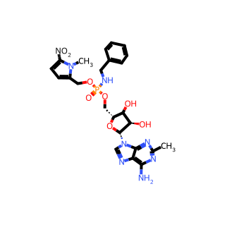 Cc1nc(N)c2ncn([C@@H]3O[C@H](COP(=O)(NCc4ccccc4)OCc4ccc([N+](=O)[O-])n4C)C(O)[C@H]3O)c2n1